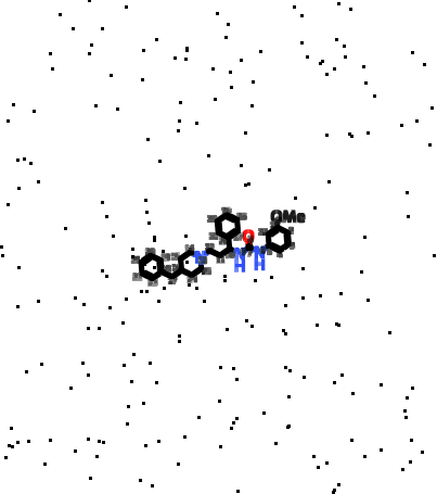 COc1cccc(NC(=O)NC(CCN2CCC(Cc3ccccc3)CC2)c2ccccc2)c1